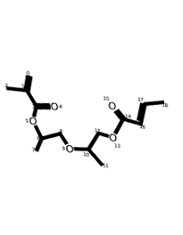 C=C(C)C(=O)OC(C)COC(C)COC(=O)C=CC